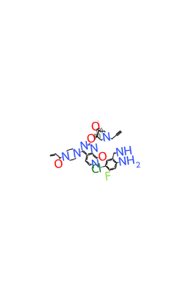 C#CCN1C[C@@H](OC)[C@H](Oc2nc(N3CCN(C(=O)C=C)CC3)c3ccnc(Oc4c(Cl)c(F)cc(N)c4C=N)c3n2)C1